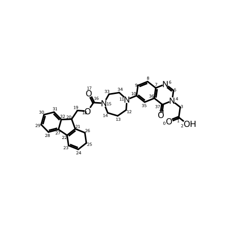 O=C(O)Cn1cnc2ccc(N3CCCN(C(=O)OCC4C5=C(C=CCC5)c5ccccc54)CC3)cc2c1=O